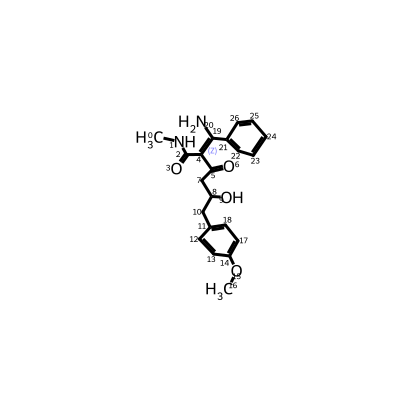 CNC(=O)/C(C(=O)CC(O)Cc1ccc(OC)cc1)=C(\N)c1ccccc1